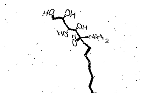 CC(C)CCCCCC[C@](N)(O)[C@@H](O)[C@H](O)[C@H](O)CO